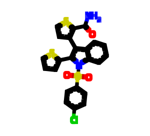 NC(=O)c1sccc1-c1c(-c2cccs2)n(S(=O)(=O)c2ccc(Cl)cc2)c2ccccc12